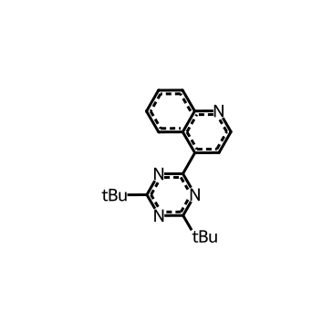 CC(C)(C)c1nc(-c2ccnc3ccccc23)nc(C(C)(C)C)n1